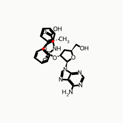 C[C@@](Cc1ccccc1)(NP(=O)(Oc1ccccc1)O[C@@H]1C[C@@H](CO)O[C@H]1n1cnc2c(N)ncnc21)C(=O)O